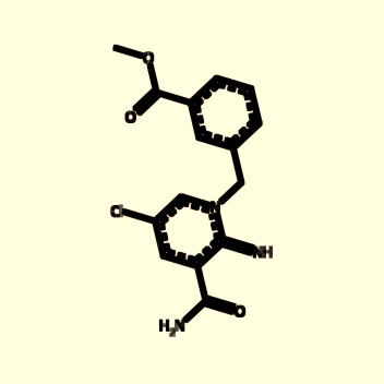 COC(=O)c1cccc(Cn2cc(Cl)cc(C(N)=O)c2=N)c1